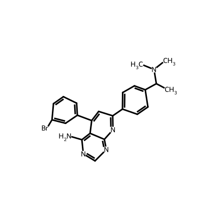 CC(c1ccc(-c2cc(-c3cccc(Br)c3)c3c(N)ncnc3n2)cc1)N(C)C